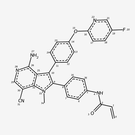 C=CC(=O)Nc1ccc(-c2c(-c3ccc(Oc4ccc(F)cn4)cc3)c3c(N)ncc(C#N)c3n2C)cc1